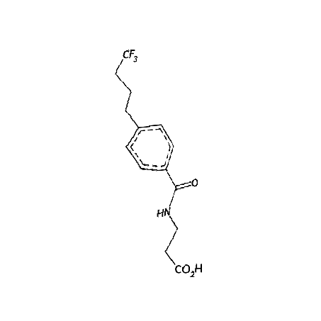 O=C(O)CCNC(=O)c1ccc(CCCC(F)(F)F)cc1